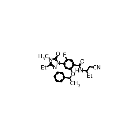 CCc1nn(-c2cc(O[C@@H](C)c3ccccc3)c(C(=O)NC(CC)CC#N)cc2F)c(=O)n1C